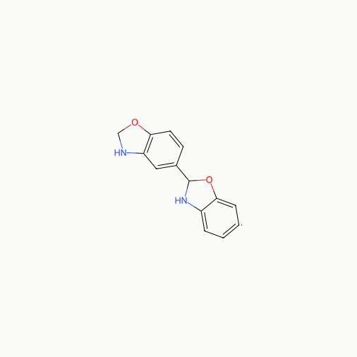 [c]1ccc2c(c1)OC(c1ccc3c(c1)NCO3)N2